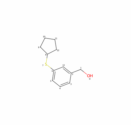 OCc1cccc(SC2CCCC2)c1